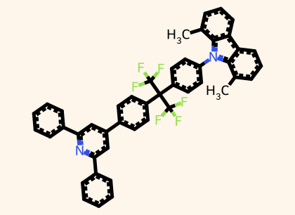 Cc1cccc2c3cccc(C)c3n(-c3ccc(C(c4ccc(-c5cc(-c6ccccc6)nc(-c6ccccc6)c5)cc4)(C(F)(F)F)C(F)(F)F)cc3)c12